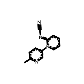 Cc1ccc(-n2cccc/c2=N\C#N)cn1